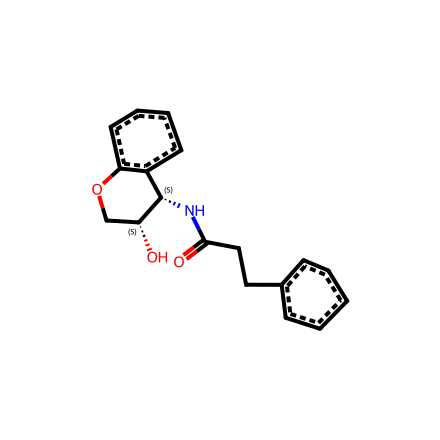 O=C(CCc1ccccc1)N[C@H]1c2ccccc2OC[C@H]1O